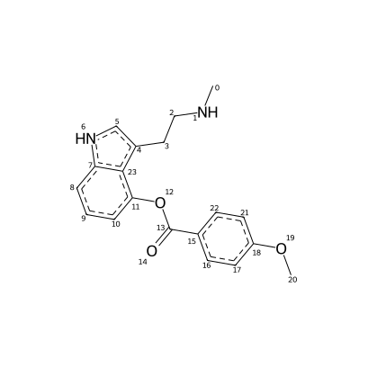 CNCCc1c[nH]c2cccc(OC(=O)c3ccc(OC)cc3)c12